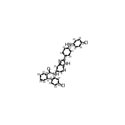 O=C(Nc1cnc2[nH]c(-c3ccc(Nc4ccc(Cl)cc4)cc3)nc2c1)c1ccccc1-c1ccc(Cl)cc1